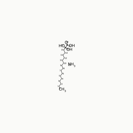 CCCCCCCCCCCCCCCCC(O)(O)C(=O)O.N